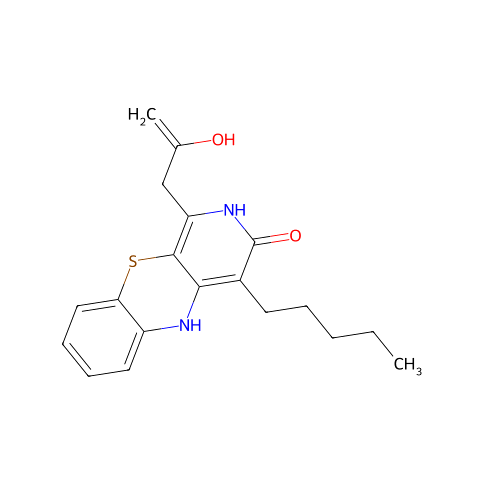 C=C(O)Cc1[nH]c(=O)c(CCCCC)c2c1Sc1ccccc1N2